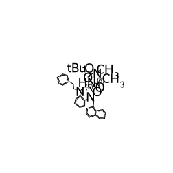 C[C@@H](C(=O)N[C@H]1CN(CCc2ccccc2)c2ccccc2N(Cc2cccc3ccccc23)C1=O)N(C)C(=O)OC(C)(C)C